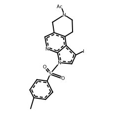 CC(=O)N1CCc2c(cnc3c2c(I)cn3S(=O)(=O)c2ccc(C)cc2)C1